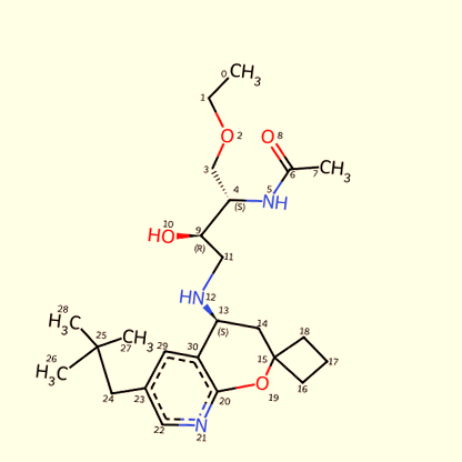 CCOC[C@H](NC(C)=O)[C@H](O)CN[C@H]1CC2(CCC2)Oc2ncc(CC(C)(C)C)cc21